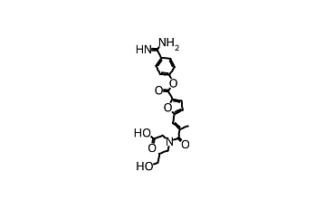 C/C(=C\c1ccc(C(=O)Oc2ccc(C(=N)N)cc2)o1)C(=O)N(CCCO)CC(=O)O